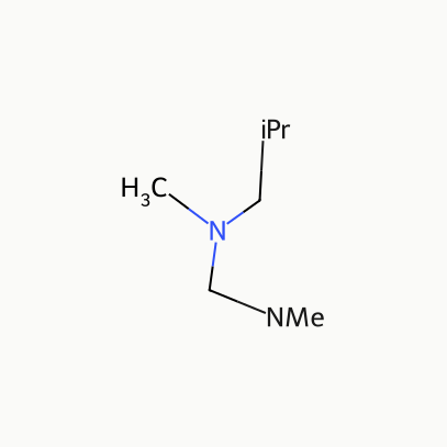 CNCN(C)CC(C)C